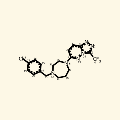 FC(F)(F)c1nnc2ccc(N3CCCN(Cc4ccc(Cl)cc4)CC3)nn12